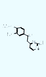 COc1ccc(C(=O)Cc2ccnc(Cl)n2)cc1C#N